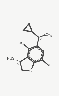 C[C@H]1COc2c(F)cc([C@H](C)C3CC3)c(O)c21